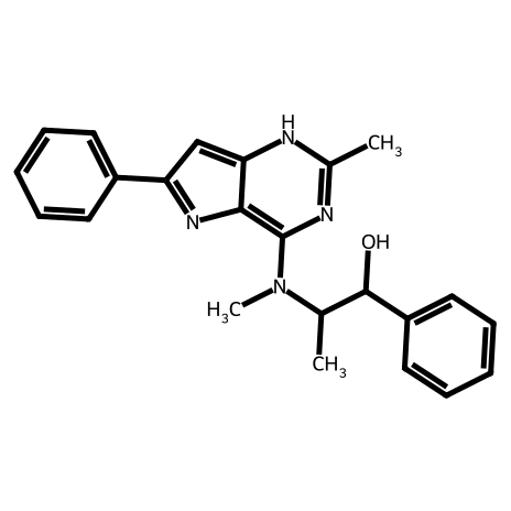 Cc1nc(N(C)C(C)C(O)c2ccccc2)c2nc(-c3ccccc3)cc-2[nH]1